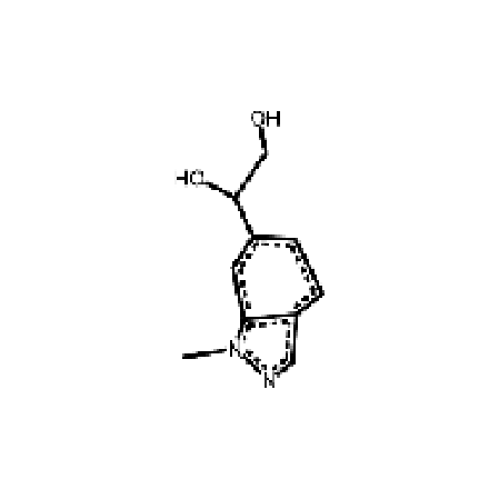 Cn1ncc2ccc(C(O)CO)cc21